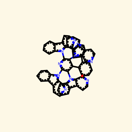 c1ccc(-c2c(-n3c4ccccc4c4ccncc43)c(-n3c4ccccc4c4ccncc43)nc(-n3c4ccccc4c4ccncc43)c2-n2c3ccccc3c3ccncc32)c(-c2ccncc2)c1